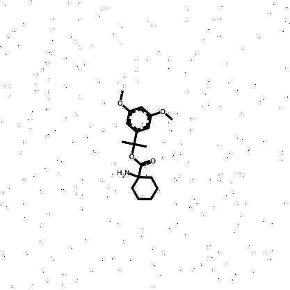 COc1cc(OC)cc(C(C)(C)OC(=O)C2(N)CCCCC2)c1